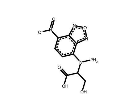 O=C(O)C(CO)N(P)c1ccc([N+](=O)[O-])c2nonc12